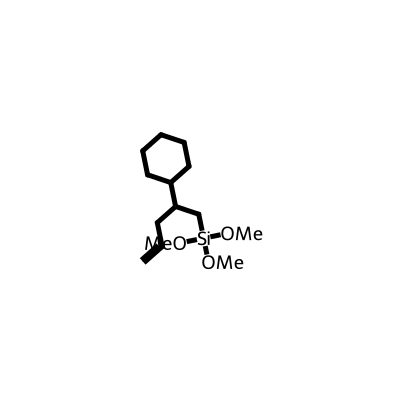 C=CCC(C[Si](OC)(OC)OC)C1CCCCC1